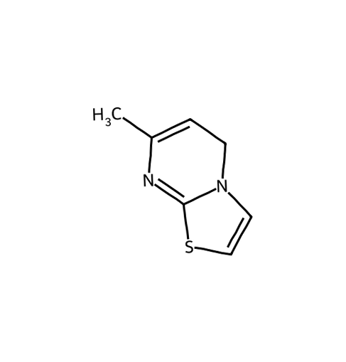 CC1=CCN2C=CSC2=N1